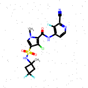 Cn1cc(S(=O)(=O)NC2(C)CC(F)(F)C2)c(Cl)c1C(=O)Nc1ccnc(C#N)c1F